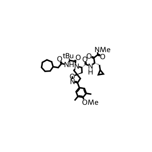 CNC(=O)C(=O)[C@H](CC1CC1)NC(=O)[C@@H]1C[C@]2(CC(c3cc(C)c(OC)c(C)c3)=NO2)CN1C(=O)[C@@H](NC(=O)CC1CCCCCC1)C(C)(C)C